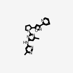 Cc1cc(Nc2cc(C)nc(N3CCCC3c3cc(-c4ccccn4)no3)n2)ncn1